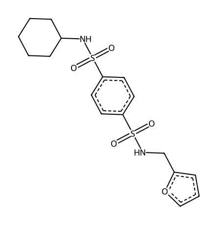 O=S(=O)(NCc1ccco1)c1ccc(S(=O)(=O)NC2CCCCC2)cc1